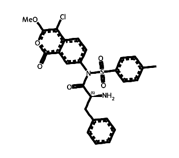 COc1oc(=O)c2cc(N(C(=O)[C@@H](N)Cc3ccccc3)S(=O)(=O)c3ccc(C)cc3)ccc2c1Cl